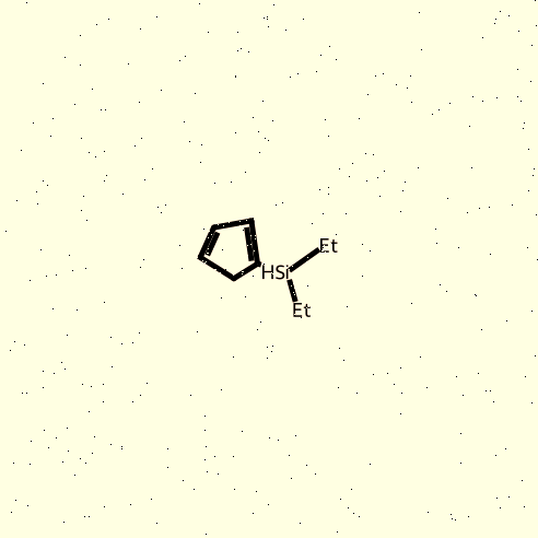 CC[SiH](CC)C1=CC=CC1